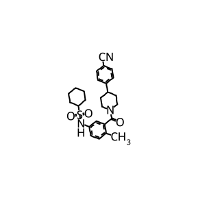 Cc1ccc(NS(=O)(=O)C2CCCCC2)cc1C(=O)N1CCC(c2ccc(C#N)cc2)CC1